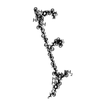 CCCC(=O)OCc1ccc(NC(=O)[C@H](CCCNC(N)=O)NC(=O)CNC(=O)CCOCCOCCOCCOCCN(CCOCCOCCOCCOCCC(=O)NCC(=O)N[C@@H](CCCNC=O)C(=O)Nc2ccc(COC(=O)C(CC)CCC)cc2)C(=O)CCCC(=O)ON2C(=O)CCC2=O)cc1